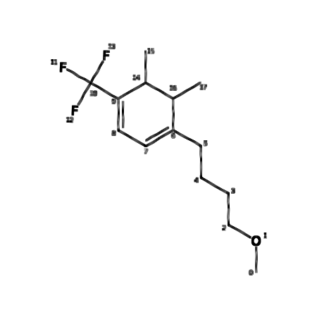 COCCCCC1=CC=C(C(F)(F)F)C(C)C1C